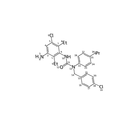 CCc1c(N)cc(Cl)c(CC)c1NC(=O)N(Cc1ccc(Cl)cc1)c1ccc(C(C)C)cc1